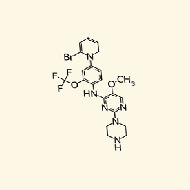 COc1cnc(N2CCNCC2)nc1Nc1ccc(N2CC=CC=C2Br)cc1OC(F)(F)F